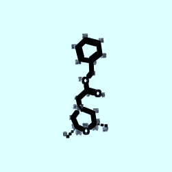 C[C@@H]1CN(CC(=O)OCc2ccccc2)C[C@H](C)O1